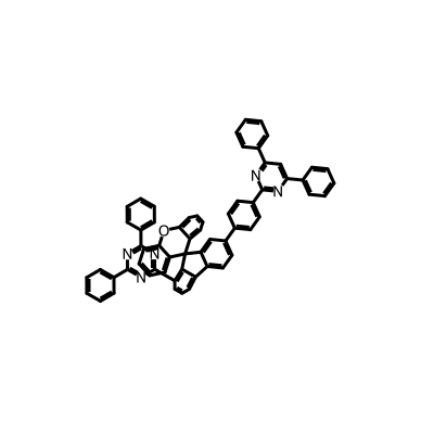 c1ccc(-c2cc(-c3ccccc3)nc(-c3ccc(-c4ccc5c(c4)C4(c6ccccc6Oc6ccccc64)c4c(-c6nc(-c7ccccc7)nc(-c7ccccc7)n6)cccc4-5)cc3)n2)cc1